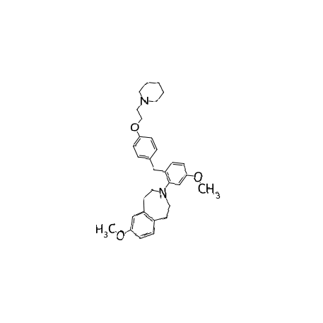 COc1ccc2c(c1)CCN(c1cc(OC)ccc1Cc1ccc(OCCN3CCCCC3)cc1)CC2